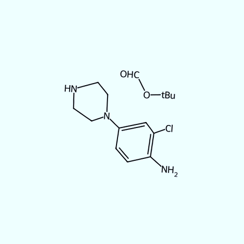 CC(C)(C)OC=O.Nc1ccc(N2CCNCC2)cc1Cl